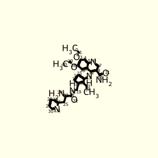 CCOc1cc2ncc(C(N)=O)c(Nc3cccc(CNC(=O)[C@@H](N)Cc4ccccn4)c3CC)c2cc1OCC